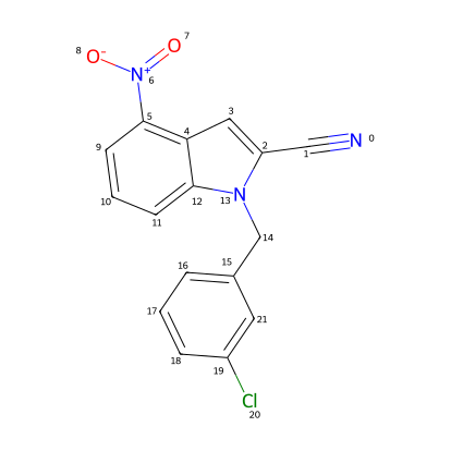 N#Cc1cc2c([N+](=O)[O-])cccc2n1Cc1cccc(Cl)c1